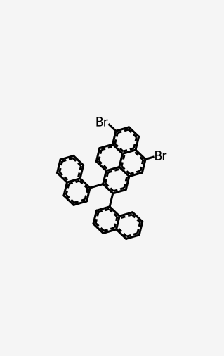 Brc1ccc2c(Br)cc3cc(-c4cccc5ccccc45)c(-c4cccc5ccccc45)c4ccc1c2c34